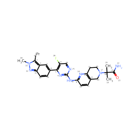 CC(C)c1c2cc(-c3nc(Nc4ccc5c(n4)CCN(C(C)(C)C(N)=O)C5)ncc3F)ccc2nn1C